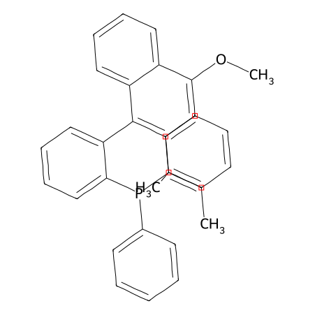 CC=C(C)c1cc(OC)c2ccccc2c1-c1ccccc1P(c1ccccc1)c1ccccc1